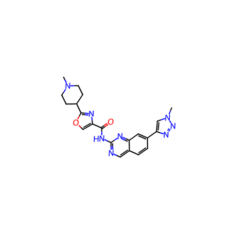 CN1CCC(c2nc(C(=O)Nc3ncc4ccc(-c5cn(C)nn5)cc4n3)co2)CC1